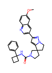 COc1ccc2ncc(-c3cc4n(n3)CCC43CCN(C(=O)NC4(c5ccccc5)CCC4)C3)cc2c1